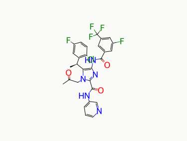 CC(=O)Cn1c(C(=O)Nc2cccnc2)nc(NC(=O)c2cc(F)cc(C(F)(F)F)c2)c1[C@@H](C)c1cc(F)ccc1Cl